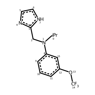 CC(C)N(Cc1ncc[nH]1)c1cccc(OC(F)(F)F)c1